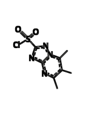 Cc1nc2nc(S(=O)(=O)Cl)nn2c(C)c1C